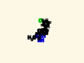 CN1CC(C)(c2cccc(-c3cccc(Cl)c3)c2)NC1=N